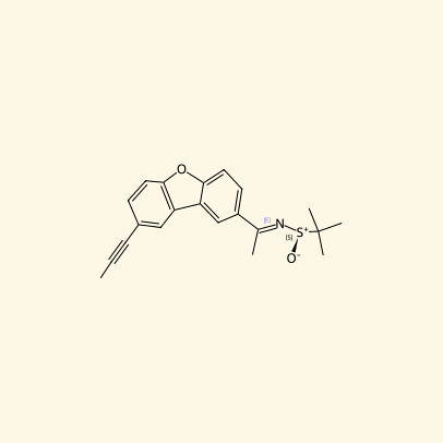 CC#Cc1ccc2oc3ccc(/C(C)=N/[S@+]([O-])C(C)(C)C)cc3c2c1